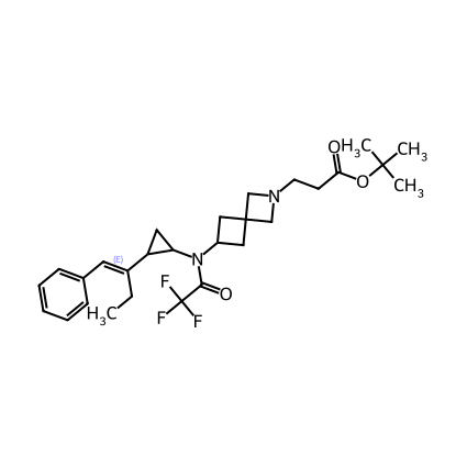 CC/C(=C\c1ccccc1)C1CC1N(C(=O)C(F)(F)F)C1CC2(C1)CN(CCC(=O)OC(C)(C)C)C2